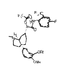 COc1ccc([C@@]23CC[C@@H](N(OC(=O)C(F)(F)F)C(=O)Nc4ccc(F)cc4C(F)(F)F)C[C@@H]2N(C)CC3)cc1OC